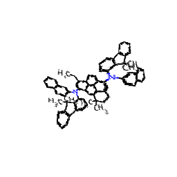 CCc1cc(N(c2ccc3ccccc3c2)c2cccc3c2C(C)(C)c2ccccc2-3)c2cc3c4c(cc(N(c5ccc6ccccc6c5)c5cccc6c5C(C)(C)c5ccccc5-6)c5ccc1c2c54)CCC3(C)C